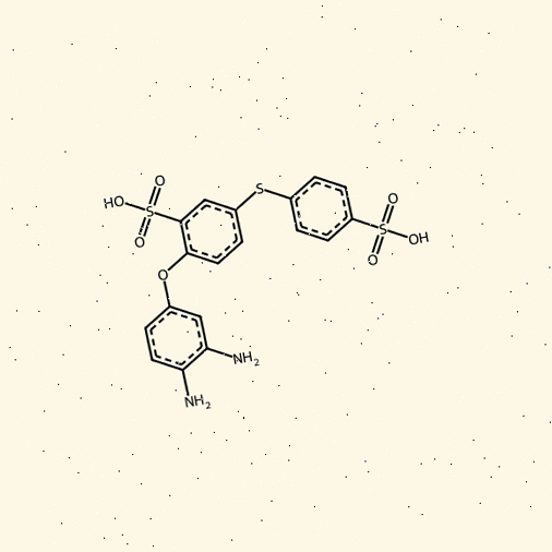 Nc1ccc(Oc2ccc(Sc3ccc(S(=O)(=O)O)cc3)cc2S(=O)(=O)O)cc1N